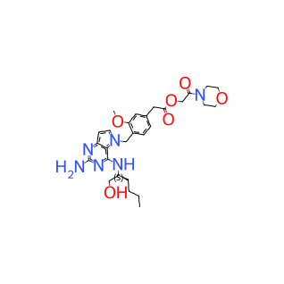 CCCC[C@@H](CO)Nc1nc(N)nc2ccn(Cc3ccc(CC(=O)OCC(=O)N4CCOCC4)cc3OC)c12